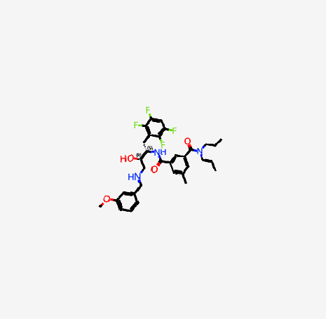 CCCN(CCC)C(=O)c1cc(C)cc(C(=O)N[C@@H](Cc2c(F)c(F)cc(F)c2F)[C@H](O)CNCc2cccc(OC)c2)c1